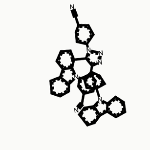 N#Cc1ccc(-c2nnn(-c3ccc(C#N)cc3)c2-c2cccc3c4ccccc4n(-c4cccc(-n5c6ccccc6c6ccccc65)c4)c23)cc1